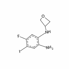 Nc1cc(I)c(F)cc1NC1COC1